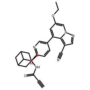 C#CC(=O)NC1(C)CC2CC(C1)C2Nc1ccc(-c2cc(OCC)cn3ncc(C#N)c23)cn1